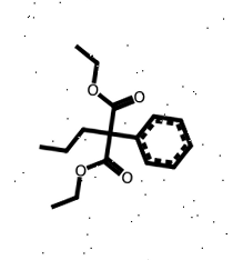 CCCC(C(=O)OCC)(C(=O)OCC)c1ccccc1